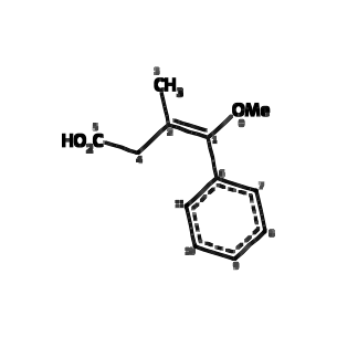 CO/C(=C(\C)CC(=O)O)c1ccccc1